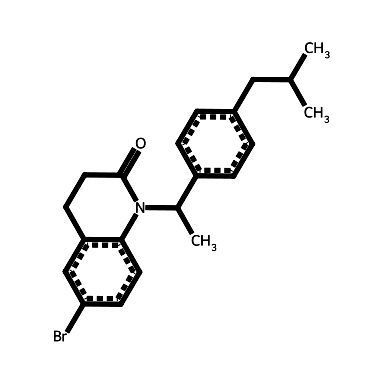 CC(C)Cc1ccc(C(C)N2C(=O)CCc3cc(Br)ccc32)cc1